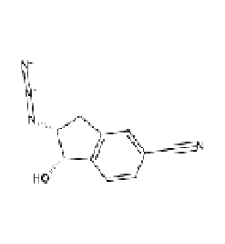 N#Cc1ccc2c(c1)C[C@@H](N=[N+]=[N-])[C@H]2O